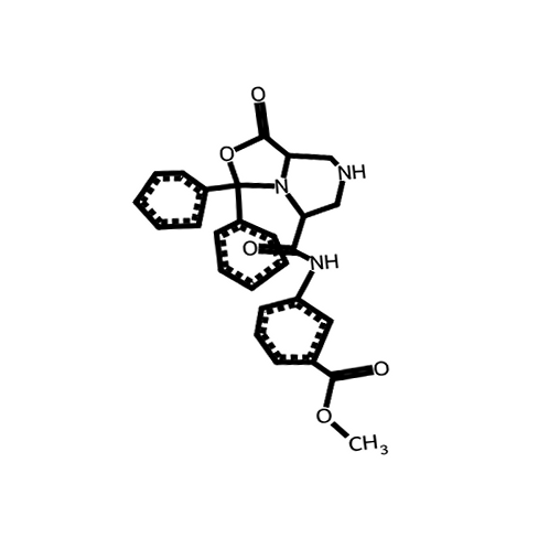 COC(=O)c1cccc(NC(=O)C2CNCC3C(=O)OC(c4ccccc4)(c4ccccc4)N23)c1